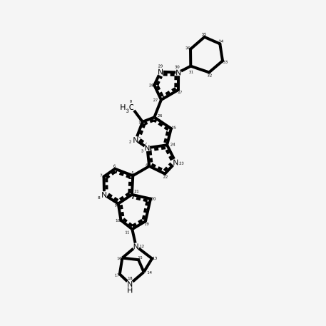 Cc1nn2c(-c3ccnc4cc(N5CC6CC5CN6)ccc34)cnc2cc1-c1cnn(C2CCCCC2)c1